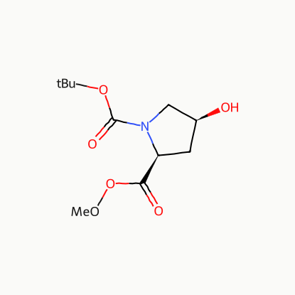 COOC(=O)[C@@H]1C[C@H](O)CN1C(=O)OC(C)(C)C